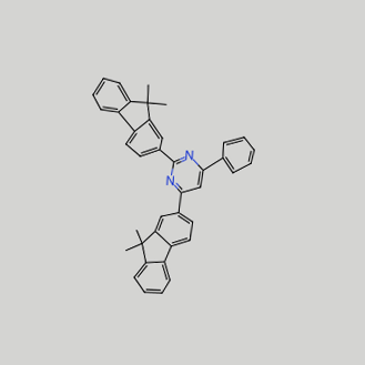 CC1(C)c2ccccc2-c2ccc(-c3cc(-c4ccccc4)nc(-c4ccc5c(c4)C(C)(C)c4ccccc4-5)n3)cc21